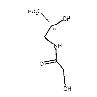 O=C(CO)NC[C@@H](O)C(=O)O